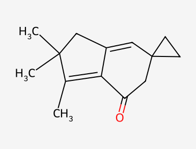 CC1=C2C(=O)CC3(C=C2CC1(C)C)CC3